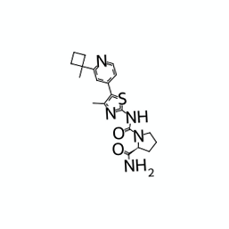 Cc1nc(NC(=O)N2CCC[C@H]2C(N)=O)sc1-c1ccnc(C2(C)CCC2)c1